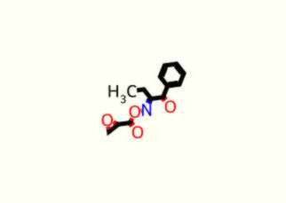 CC/C(=N\OC(=O)C1CO1)C(=O)c1ccccc1